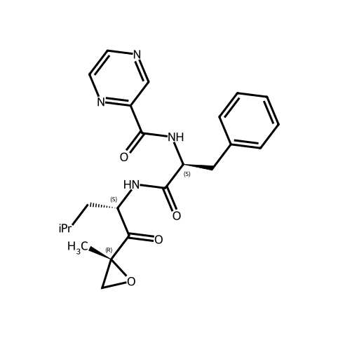 CC(C)C[C@H](NC(=O)[C@H](Cc1ccccc1)NC(=O)c1cnccn1)C(=O)[C@@]1(C)CO1